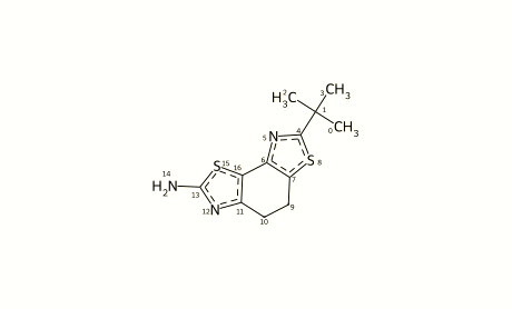 CC(C)(C)c1nc2c(s1)CCc1nc(N)sc1-2